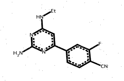 CCNc1cc(-c2ccc(C#N)c(F)c2)nc(N)n1